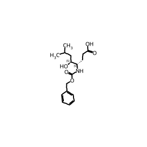 CC(C)C[C@H](O)[C@H](CCC(=O)O)NC(=O)OCc1ccccc1